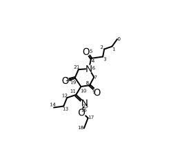 CCCCC(=O)N1CC(=O)C(C(CCC)=NOCC)C(=O)C1